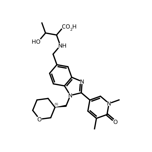 Cc1cc(-c2nc3cc(CNC(C(=O)O)C(C)O)ccc3n2C[C@@H]2CCCOC2)cn(C)c1=O